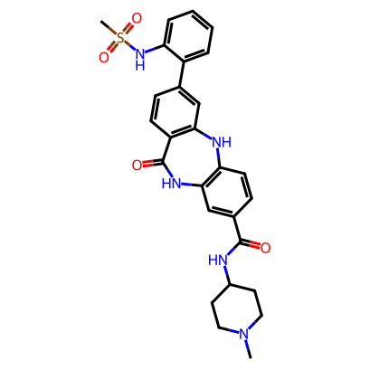 CN1CCC(NC(=O)c2ccc3c(c2)NC(=O)c2ccc(-c4ccccc4NS(C)(=O)=O)cc2N3)CC1